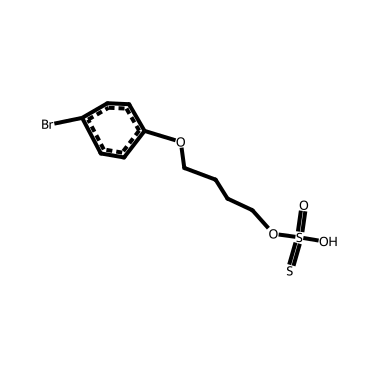 O=S(O)(=S)OCCCCOc1ccc(Br)cc1